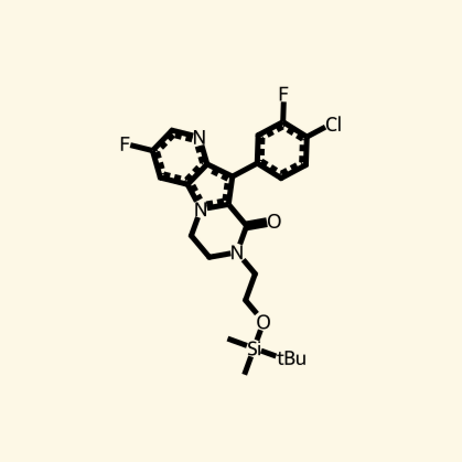 CC(C)(C)[Si](C)(C)OCCN1CCn2c(c(-c3ccc(Cl)c(F)c3)c3ncc(F)cc32)C1=O